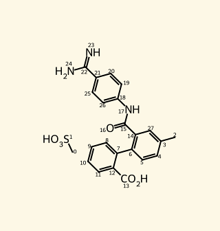 CS(=O)(=O)O.Cc1ccc(-c2ccccc2C(=O)O)c(C(=O)Nc2ccc(C(=N)N)cc2)c1